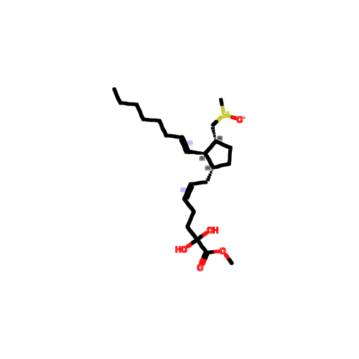 CCCCCC/C=C/[C@@H]1[C@@H](C/C=C\CCC(O)(O)C(=O)OC)CC[C@H]1C[S+](C)[O-]